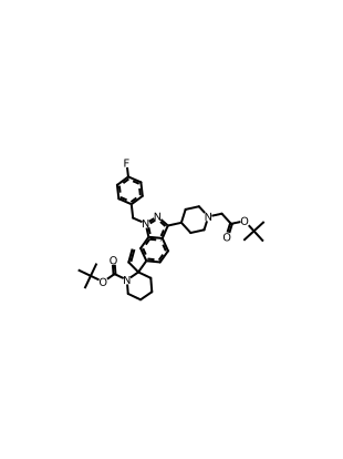 C=CC1(c2ccc3c(C4CCN(CC(=O)OC(C)(C)C)CC4)nn(Cc4ccc(F)cc4)c3c2)CCCCN1C(=O)OC(C)(C)C